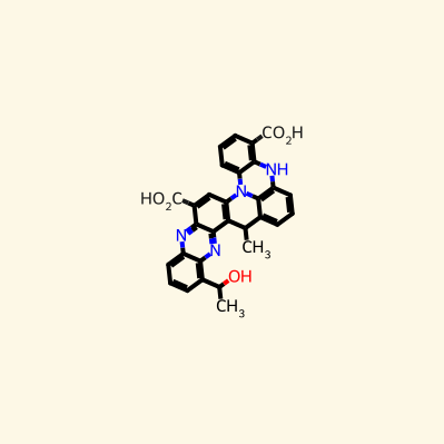 CC(O)c1cccc2nc3c(C(=O)O)cc4c(c3nc12)C(C)c1cccc2c1N4c1cccc(C(=O)O)c1N2